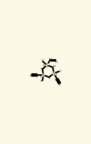 C#CS1(C)CS(C)(C#C)CS(C)(C=C)C1